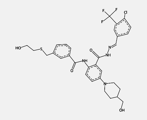 O=C(Nc1ccc(N2CCC(CO)CC2)cc1C(=O)NN=Cc1ccc(Cl)c(C(F)(F)F)c1)c1cccc(CSCCO)c1